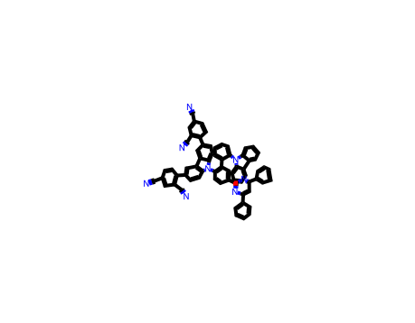 N#Cc1ccc(-c2ccc3c(c2)c2cc(-c4ccc(C#N)cc4C#N)ccc2n3-c2ccc(-c3nc(-c4ccccc4)cc(-c4ccccc4)n3)cc2-c2ccccc2-n2c3ccccc3c3ccccc32)c(C#N)c1